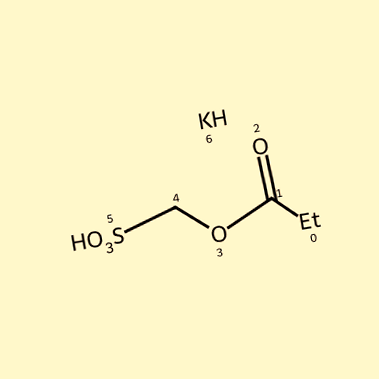 CCC(=O)OCS(=O)(=O)O.[KH]